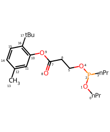 CCCOP(CCC)OCCC(=O)Oc1cc(C)ccc1C(C)(C)C